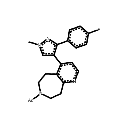 CC(=O)N1CCc2nccc(-c3cn(C)nc3-c3ccc(F)cc3)c2CC1